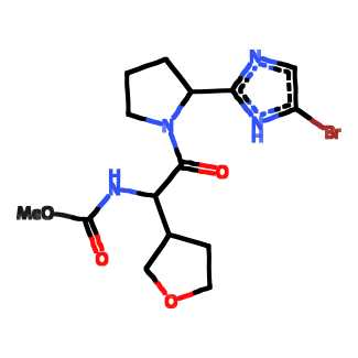 COC(=O)NC(C(=O)N1CCCC1c1ncc(Br)[nH]1)C1CCOC1